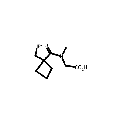 CC(C)CC1(C(=O)N(C)CC(=O)O)CCC1